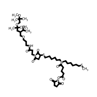 COC(C)(C)COC(C)(C)CC(COCCCNC(=O)CCN1C(=O)CC(SCCCCCCN(CCCCCCSC)C(=O)CCCC(=O)ON2C(=O)CCC2=O)C1=O)C(C)C